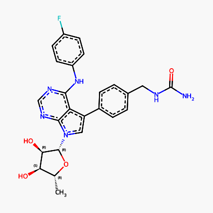 C[C@H]1O[C@@H](n2cc(-c3ccc(CNC(N)=O)cc3)c3c(Nc4ccc(F)cc4)ncnc32)[C@H](O)[C@@H]1O